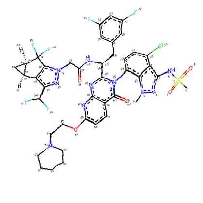 Cn1nc(NS(C)(=O)=O)c2c(Cl)ccc(-n3c([C@H](Cc4cc(F)cc(F)c4)NC(=O)Cn4nc(C(F)F)c5c4C(F)(F)[C@@H]4C[C@H]54)nc4nc(OCCN5CCCCC5)ccc4c3=O)c21